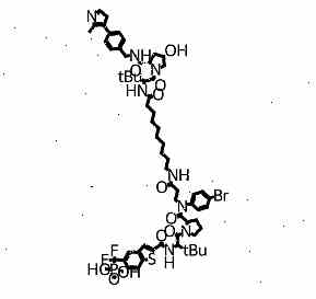 CC1=C(c2ccc(CNC(=O)[C@@H]3C[C@@H](O)CN3C(=O)C(NC(=O)CCCCCCCCCNC(=O)CCN(C(=O)C3CCCN3C(=O)C(NC(=O)c3cc4cc(C(F)(F)P(=O)(O)O)ccc4s3)C(C)(C)C)c3ccc(Br)cc3)C(C)(C)C)cc2)CC=N1